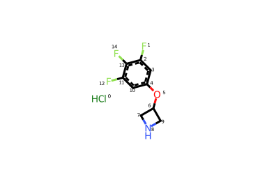 Cl.Fc1cc(OC2CNC2)cc(F)c1F